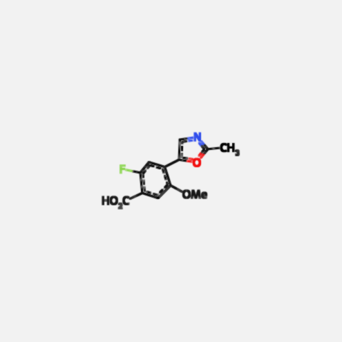 COc1cc(C(=O)O)c(F)cc1-c1cnc(C)o1